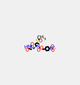 CC(=O)S[C@H]1C[C@@H](CN2CC(=O)NC2=O)N(C(=O)OCc2ccc([N+](=O)[O-])cc2)C1